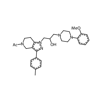 COc1ccccc1N1CCN(CC(O)Cn2nc(-c3ccc(C)cc3)c3c2CCN(C(C)=O)C3)CC1